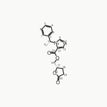 C[C@H](c1ccccc1)n1cncc1C(=O)OC[C@@H]1CCC(=O)O1